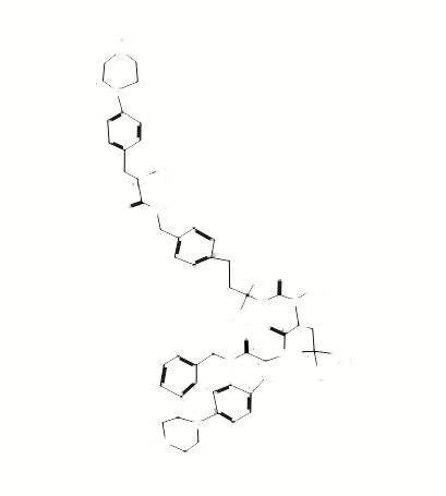 CN(C(=O)OC(C)(C)CCc1ccc(COC(=O)[C@H](O)Cc2ccc(N3CCOCC3)cc2)cc1)[C@@H](CC(C)(C)F)C(=O)O[C@H](Cc1ccc(N2CCOCC2)cc1)C(=O)OCc1ccccc1